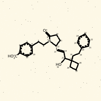 O=C(O)c1ccc(CCN2C(=O)CC[C@@H]2C=CC(O)C2(CCc3ccccc3)CCC2)cc1